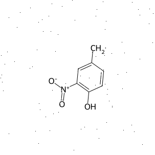 [CH2]c1ccc(O)c([N+](=O)[O-])c1